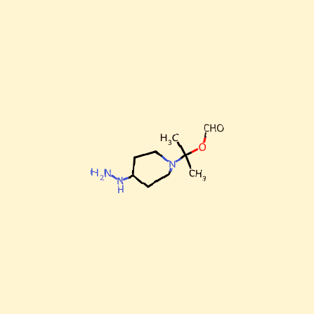 CC(C)(OC=O)N1CCC(NN)CC1